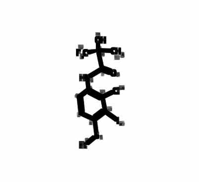 CCSc1ccc(NC(=O)[C@@](C)(O)C(F)(F)F)c(Cl)c1I